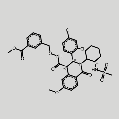 COC(=O)c1cccc(CONC(=O)[C@@H]2c3cc(OC)ccc3C(=O)N(C3CCCC[C@@H]3NS(C)(=O)=O)[C@H]2c2ccc(Cl)cc2Cl)c1